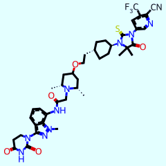 C[C@@H]1CC(OCC[C@H]2CC[C@H](N3C(=S)N(c4cnc(C#N)c(C(F)(F)F)c4)C(=O)C3(C)C)CC2)C[C@H](C)N1CC(=O)Nc1cccc2c(N3CCC(=O)NC3=O)nn(C)c12